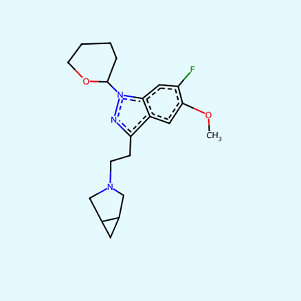 COc1cc2c(CCN3CC4CC4C3)nn(C3CCCCO3)c2cc1F